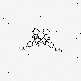 Cc1ccc(S(=O)(=O)N2c3ccccc3-c3ccccc3N(S(=O)(=O)c3ccc(C)cc3)P2(O)=S)cc1